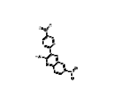 Cc1nc2ccc([N+](=O)[O-])cc2nc1-c1ccc([N+](=O)[O-])cc1